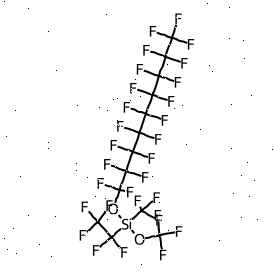 FC(F)(F)O[Si](OC(F)(F)C(F)(F)C(F)(F)C(F)(F)C(F)(F)C(F)(F)C(F)(F)C(F)(F)C(F)(F)F)(C(F)(F)F)C(F)(F)C(F)(F)F